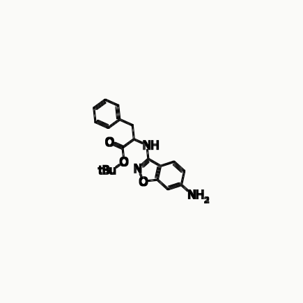 CC(C)(C)OC(=O)C(Cc1ccccc1)Nc1noc2cc(N)ccc12